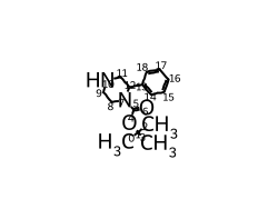 CC(C)(C)OC(=O)N1CCNCC1c1ccccc1